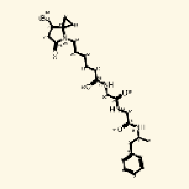 CC(Cc1ccccc1)NC(=O)CNC(=O)CNC(=O)CCCCCN1C(=O)CC(C(C)(C)C)C12CC2